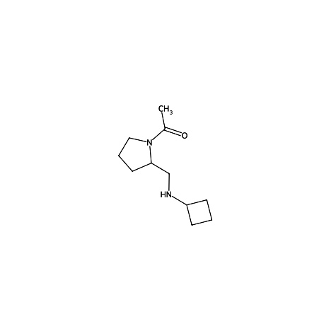 CC(=O)N1CCCC1CNC1CCC1